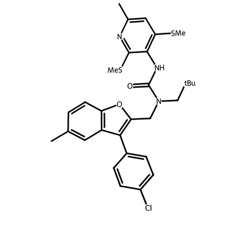 CSc1cc(C)nc(SC)c1NC(=O)N(Cc1oc2ccc(C)cc2c1-c1ccc(Cl)cc1)CC(C)(C)C